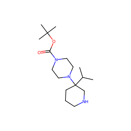 CC(C)C1(N2CCN(C(=O)OC(C)(C)C)CC2)CCCNC1